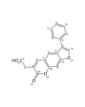 O=C(O)Cc1cc2cc3c(-c4ccccc4)coc3cc2oc1=O